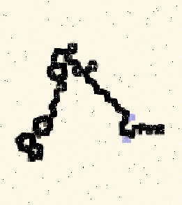 CCCCC/C=C\C/C=C\CCCCCCCC(=O)OCN1C(=O)CCc2ccc(OCCCCN3CCN(c4cccc5sccc45)CC3)cc21